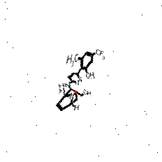 Cc1cc(C(F)(F)F)cc(O)c1-c1ccc(N[C@H]2CC[C@@H]3CC[C@@H]2N3CCO)nn1